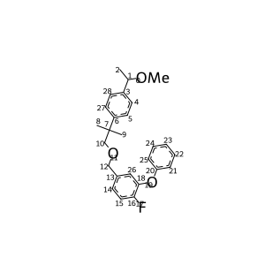 COC(C)c1ccc(C(C)(C)COCc2ccc(F)c(Oc3ccccc3)c2)cc1